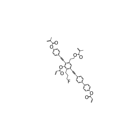 C=CC(=O)Oc1ccc(-c2ccc(C#Cc3cc(CCOC(=O)C(=C)C)c(C#Cc4ccc(OC(=O)C(=C)C)cc4)c(OC(=O)C=C)c3CCCF)cc2)cc1